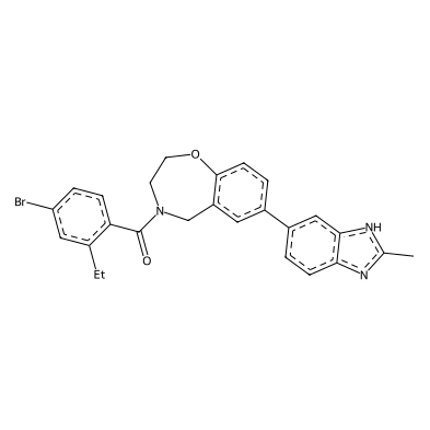 CCc1cc(Br)ccc1C(=O)N1CCOc2ccc(-c3ccc4nc(C)[nH]c4c3)cc2C1